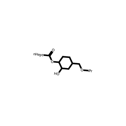 CCCCCCCC(=O)OC1CCC(COC(C)C)CC1O